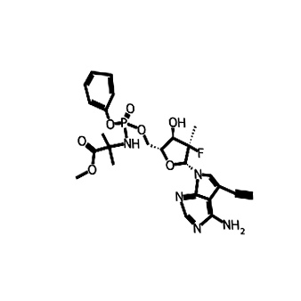 C#Cc1cn([C@@H]2O[C@H](COP(=O)(NC(C)(C)C(=O)OC)Oc3ccccc3)[C@@H](O)[C@@]2(C)F)c2ncnc(N)c12